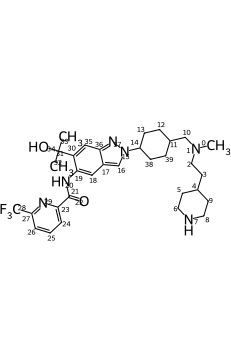 CN(CCC1CCNCC1)CC1CCC(n2cc3cc(NC(=O)c4cccc(C(F)(F)F)n4)c(C(C)(C)O)cc3n2)CC1